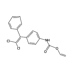 C=COC(=O)Nc1ccc(C(=C(Cl)Cl)c2ccccc2)cc1